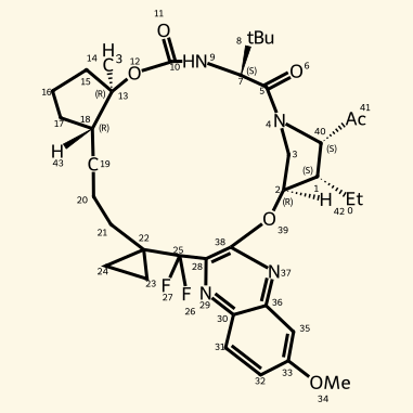 CC[C@@H]1[C@@H]2CN(C(=O)[C@H](C(C)(C)C)NC(=O)O[C@]3(C)CCC[C@H]3CCCC3(CC3)C(F)(F)c3nc4ccc(OC)cc4nc3O2)[C@@H]1C(C)=O